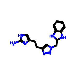 Nc1nc(CCc2cn(CC3Nc4ccccc4N3)nn2)c[nH]1